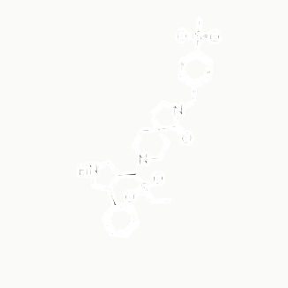 CCS(=O)(=O)C([C@@H]1CNC[C@@H]1c1ccccc1)N1CCC2(CCN(Cc3ccc(S(C)(=O)=O)cc3)C2=O)CC1